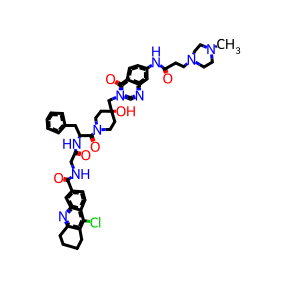 CN1CCN(CCC(=O)Nc2ccc3c(=O)n(CC4(O)CCN(C(=O)C(Cc5ccccc5)NC(=O)CNC(=O)c5ccc6c(Cl)c7c(nc6c5)CCCC7)CC4)cnc3c2)CC1